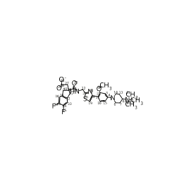 COc1cc(N2CCC([N+](C)(C)C)CC2)ccc1-c1csc(CNC(=O)C2(CC(=O)[O-])Cc3cc(F)c(F)cc3C2)n1